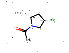 BC(=O)N1C[C@@H](Br)C[C@H]1C(=O)OCC